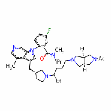 CCC(CCCN1C[C@H]2CN(C(C)=O)C[C@@H]2C1)N1CC[C@@H](Cc2cn(-c3ccc(F)cc3C(=O)N(C)C(C)C)c3cncc(C)c23)C1